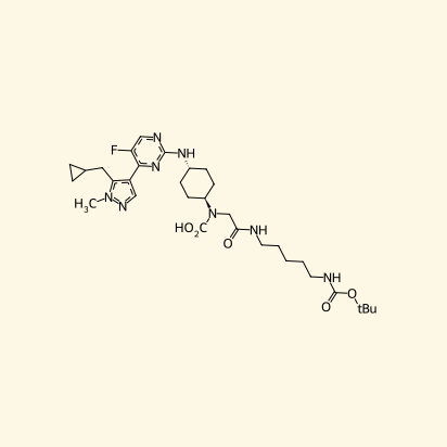 Cn1ncc(-c2nc(N[C@H]3CC[C@H](N(CC(=O)NCCCCCNC(=O)OC(C)(C)C)C(=O)O)CC3)ncc2F)c1CC1CC1